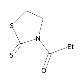 CCC(=O)N1CCSC1=S